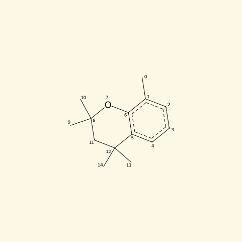 Cc1cccc2c1OC(C)(C)CC2(C)C